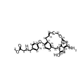 COC(=O)CNCc1ccc(Oc2ccc3cc2C/C=C/CCOc2nc(N)c4nc(O)n(c4n2)C3)cc1